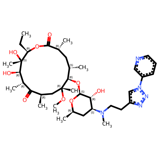 CC[C@H]1OC(=O)[C@H](C)C[C@H](C)[C@@H](O[C@@H]2O[C@H](C)C[C@H](N(C)CCc3cn(-c4cccnc4)nn3)[C@H]2O)[C@](C)(OC)C[C@@H](C)C(=O)[C@H](C)[C@@H](O)[C@]1(C)O